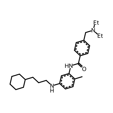 CCN(CC)Cc1ccc(C(=O)Nc2cc(NCCCC3CCCCC3)ccc2C)cc1